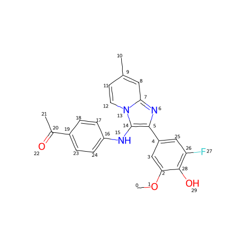 COc1cc(-c2nc3cc(C)ccn3c2Nc2ccc(C(C)=O)cc2)cc(F)c1O